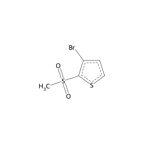 CS(=O)(=O)c1sccc1Br